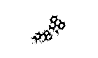 Cc1ccccc1/C(=C(\OC=O)C(C)n1nc(-c2cnc(C)c(O)c2)c2c(N)ncnc21)c1ccccc1